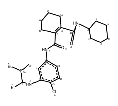 CCC(Nc1cc(NC(=O)C2=C(C(=O)NC3CCCCC3)CCCC2)ccc1Cl)P(C)CC